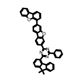 CC1(C)c2ccccc2-c2c(-c3nc(-c4ccccc4)nc(-c4ccc5c(c4)oc4cc(-c6cccc7c6oc6ccccc67)ccc45)n3)cccc21